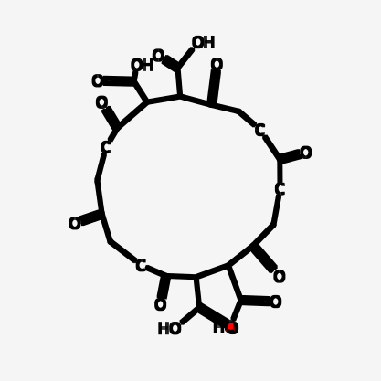 O=C1CCC(=O)C(C(=O)O)C(C(=O)O)C(=O)CCC(=O)CCC(=O)C(C(=O)O)C(C(=O)O)C(=O)CC1